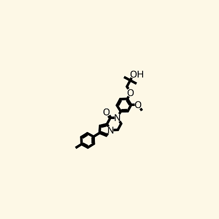 COc1cc(N2CCn3cc(-c4ccc(C)cc4)cc3C2=O)ccc1OCC(C)(C)O